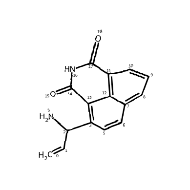 C=CC(N)c1ccc2cccc3c2c1C(=O)NC3=O